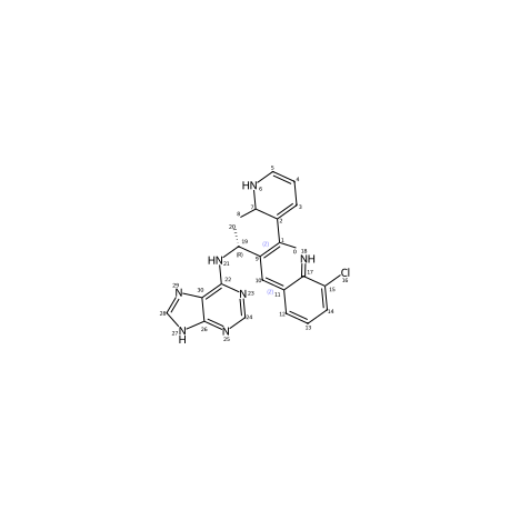 C/C(C1=CC=CNC1C)=C(\C=C1\C=CC=C(Cl)C1=N)[C@@H](C)Nc1ncnc2[nH]cnc12